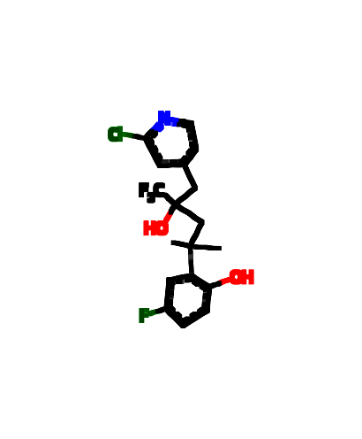 CC(C)(CC(O)(Cc1ccnc(Cl)c1)C(F)(F)F)c1cc(F)ccc1O